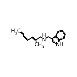 C=C/C=C\C=C(/C)CNCc1c[nH]c2ccccc12